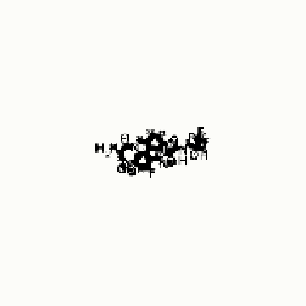 CC(O)(CNC(=O)c1nc(-c2cc3c(cc2F)S(=O)(=O)C[C@H](N)C(=O)N3Cc2ccc(Cl)cc2)no1)C(F)(F)F